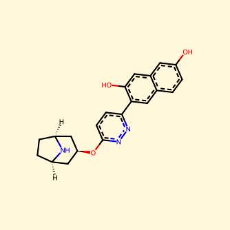 Oc1ccc2cc(-c3ccc(O[C@H]4C[C@H]5CC[C@@H](C4)N5)nn3)c(O)cc2c1